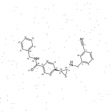 N#Cc1cccc(CN[C@@H]2C[C@H]2c2ccc(C(=O)NCc3ccccc3)cc2)c1